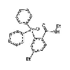 CCNC(=O)c1ccc(CC)cc1P(=O)(c1ccccc1)c1ccccc1